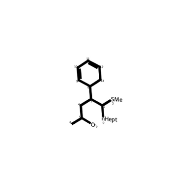 CCCCCCCC(SC)C(CC(C)[O])C1[C]=CC=CC1